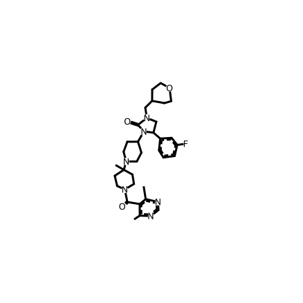 Cc1ncnc(C)c1C(=O)N1CCC(C)(N2CCC(N3C(=O)N(CC4CCOCC4)CC3c3cccc(F)c3)CC2)CC1